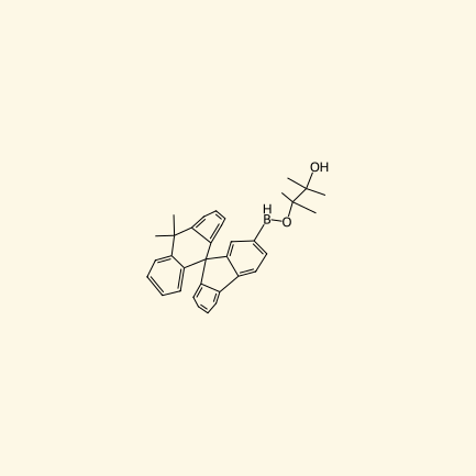 CC1(C)c2ccccc2C2(c3ccccc3-c3ccc(BOC(C)(C)C(C)(C)O)cc32)c2ccccc21